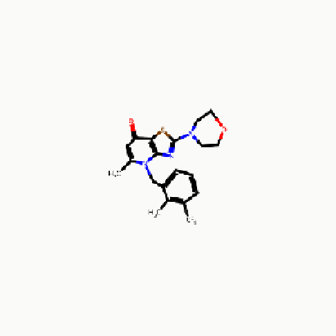 Cc1c(Cn2c(C)cc(=O)c3sc(N4CCOCC4)nc32)cccc1C(F)(F)F